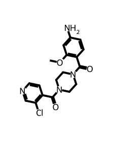 COc1cc(N)ccc1C(=O)N1CCN(C(=O)c2ccncc2Cl)CC1